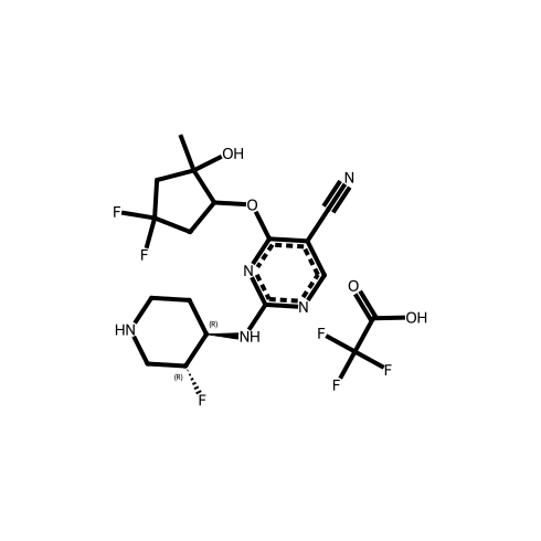 CC1(O)CC(F)(F)CC1Oc1nc(N[C@@H]2CCNC[C@H]2F)ncc1C#N.O=C(O)C(F)(F)F